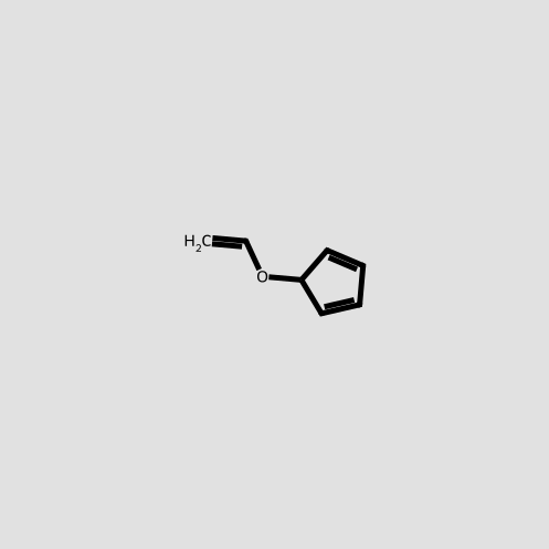 C=COC1C=CC=C1